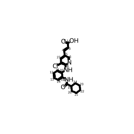 O=C(O)C=Cc1cnc(Nc2ccccc2NC(=O)C2CCCCC2)c(Cl)c1